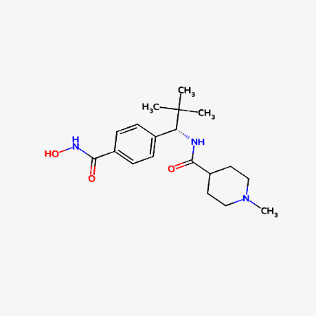 CN1CCC(C(=O)N[C@H](c2ccc(C(=O)NO)cc2)C(C)(C)C)CC1